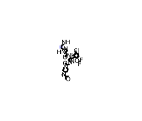 CN(C1CCN(C(=O)Cn2cc(NC(=O)c3cnc(/C=C\C=N)[nH]3)c(-c3cc(Cl)ccc3OC(F)F)n2)CC1)C1COC1